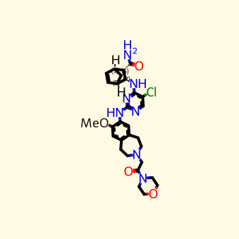 COc1cc2c(cc1Nc1ncc(Cl)c(N[C@H]3[C@@H](C(N)=O)[C@@H]4C=C[C@H]3C4)n1)CCN(CC(=O)N1CCOCC1)CC2